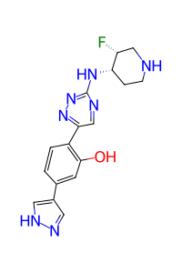 Oc1cc(-c2cn[nH]c2)ccc1-c1cnc(N[C@H]2CCNC[C@H]2F)nn1